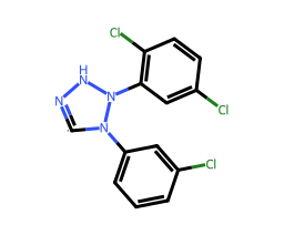 Clc1cccc(N2[C]=NNN2c2cc(Cl)ccc2Cl)c1